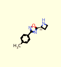 Cc1ccc(-c2noc([C@@H]3CCN3)n2)cc1